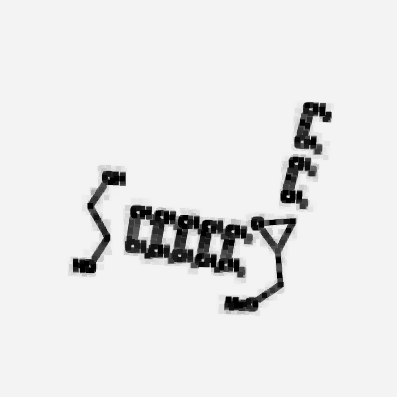 C=C.C=C.C=C.C=C.C=C.C=C.C=C.COCC1CO1.OCCO